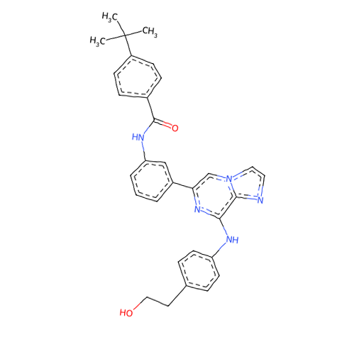 CC(C)(C)c1ccc(C(=O)Nc2cccc(-c3cn4ccnc4c(Nc4ccc(CCO)cc4)n3)c2)cc1